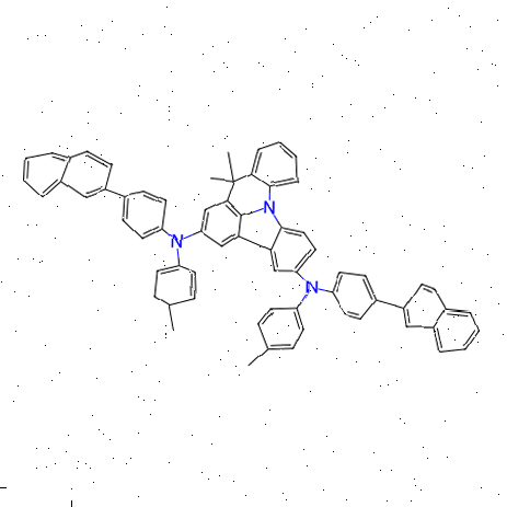 Cc1ccc(N(c2ccc(-c3ccc4ccccc4c3)cc2)c2ccc3c(c2)c2cc(N(C4=CCC(C)C=C4)c4ccc(-c5ccc6ccccc6c5)cc4)cc4c2n3-c2ccccc2C4(C)C)cc1